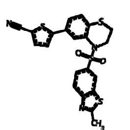 Cc1nc2ccc(S(=O)(=O)N3CCSc4ccc(-c5ccc(C#N)s5)cc43)cc2s1